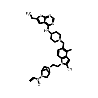 C=C[S+]([O-])N1CC2CC1CN2CCn1c(C#N)cc2c(C)c(CN3CCC(Nc4ncnc5sc(CC(F)(F)F)cc45)CC3)ccc21